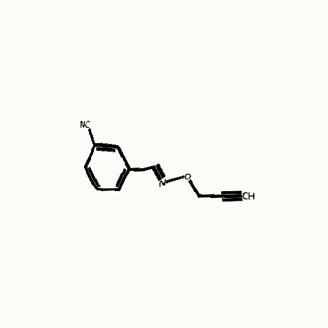 C#CCON=[C]c1cccc(C#N)c1